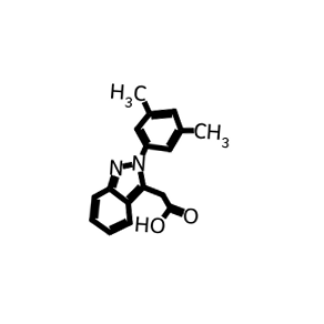 Cc1cc(C)cc(-n2nc3ccccc3c2CC(=O)O)c1